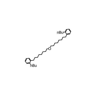 CCCCc1ccccc1CCCCCCCCOCCCCCCCCc1ccccc1CCCC